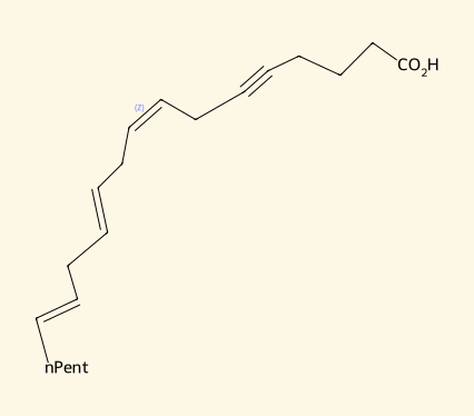 CCCCCC=CCC=CC/C=C\CC#CCCCC(=O)O